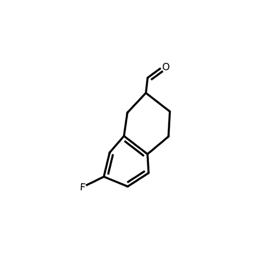 O=CC1CCc2ccc(F)cc2C1